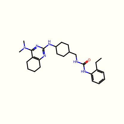 CCc1ccccc1NC(=O)NCC1CCC(Nc2nc3c(c(N(C)C)n2)CCCC3)CC1